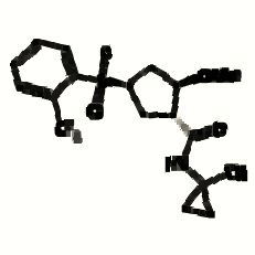 CO[C@@H]1C[C@H](S(=O)(=O)c2ccccc2C(F)(F)F)C[C@H]1C(=O)NC1(C#N)CC1